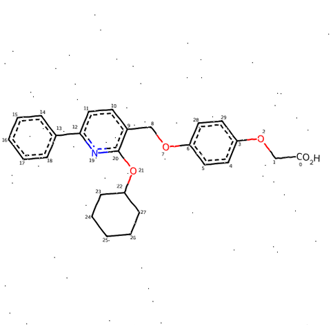 O=C(O)COc1ccc(OCc2ccc(-c3ccccc3)nc2OC2CCCCC2)cc1